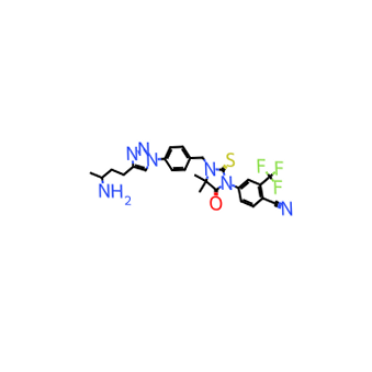 CC(N)CCc1cn(-c2ccc(CN3C(=S)N(c4ccc(C#N)c(C(F)(F)F)c4)C(=O)C3(C)C)cc2)nn1